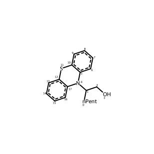 CCCCCC(CO)N1c2ccccc2Sc2ccccc21